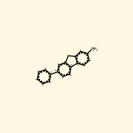 Nc1ccc2c(c1)Cc1cc(-c3ccccc3)ccc1-2